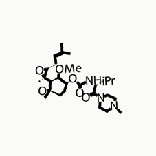 COC1[C@H](OC(=O)N[C@@H](C(=O)N2CCN(C)CC2)C(C)C)CC[C@]2(CO2)[C@H]1[C@@]1(C)O[C@@H]1CC=C(C)C